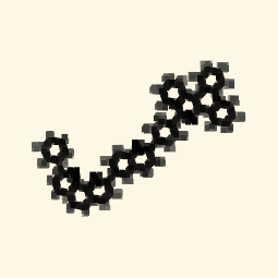 c1ccc(-c2ccc3ccc4ccc(-c5ccc6nc(-c7ccc(-c8nc9c%10ccccc%10c%10ccccc%10c9c9ccccc89)cc7)ccc6c5)nc4c3n2)cc1